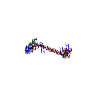 CC(C)n1cnnc1-c1cccc(NC(=O)c2cc(NC(=O)CCC(=O)NCCOCCOCCOCCOCCNc3cccc4c3C(=O)N(C3CCC(=O)NC3=O)C4=O)c(F)cc2F)n1